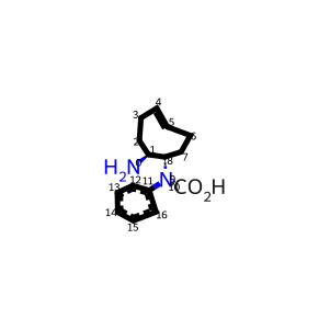 N[C@H]1CC/C=C/CC[C@@H]1N(C(=O)O)c1ccccc1